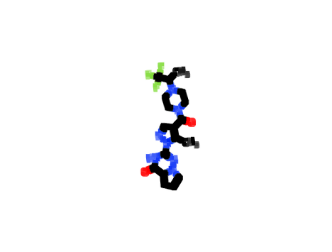 Cc1c(C(=O)N2CCN(C(C)C(F)(F)F)CC2)cnn1-c1nn2cccc2c(=O)[nH]1